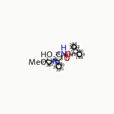 COc1ccc(-n2cc(C[C@H](NC(=O)OCC3c4ccccc4-c4ccccc43)C(=O)O)c3ccccc32)cc1